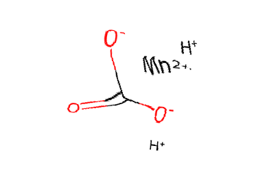 O=C([O-])[O-].[H+].[H+].[Mn+2]